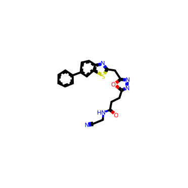 N#CCNC(=O)CCc1nnc(Cc2nc3ccc(-c4ccccc4)cc3s2)o1